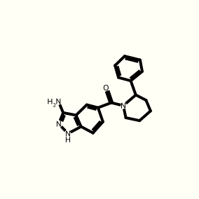 Nc1n[nH]c2ccc(C(=O)N3CCCCC3c3ccccc3)cc12